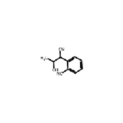 CC(O)C(C#N)c1ccccc1C#N